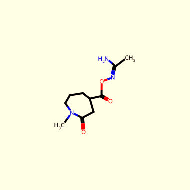 C/C(N)=N/OC(=O)C1CCCN(C)C(=O)C1